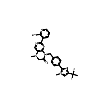 CC(C)c1ncccc1-c1ncc2c(n1)N(Cc1ccc(-c3nc(C(C)(F)F)cn3C)cc1)C(=O)CN2C